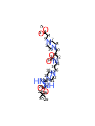 COC(=O)CCN1CCN(CC2CN(CCCN3CCN(C(=N)NC(=O)OC(C)(C)C)CC3)C(=O)O2)CC1